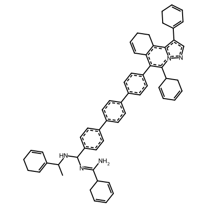 CC(NC(/N=C(\N)C1C=CC=CC1)c1ccc(-c2ccc(-c3ccc(-c4c5c(c6c(C7=CC=CCC7)cnn6c4C4C=CC=CC4)CCC=C5)cc3)cc2)cc1)C1=CCCC=C1